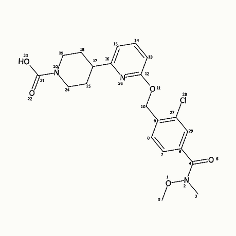 CON(C)C(=O)c1ccc(COc2cccc(C3CCN(C(=O)O)CC3)n2)c(Cl)c1